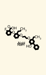 CCCc1c(OCCCOc2cc(O)c(-c3ccccc3)cc2CC)cccc1Oc1cccc(F)c1C(=O)O.[NaH].[NaH]